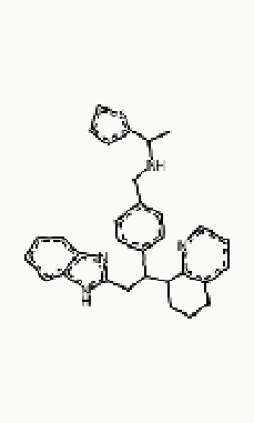 CC(NCc1ccc([C](Cc2nc3ccccc3[nH]2)C2CCCc3cccnc32)cc1)c1cccs1